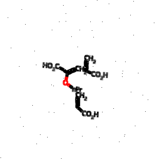 C=C(OCCC)C(=O)O.C=CC(=O)O.C=CC(=O)O